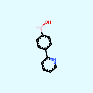 OBc1ccc(-c2ccccn2)cc1